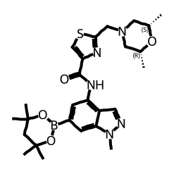 C[C@@H]1CN(Cc2nc(C(=O)Nc3cc(B4OC(C)(C)CC(C)(C)O4)cc4c3cnn4C)cs2)C[C@H](C)O1